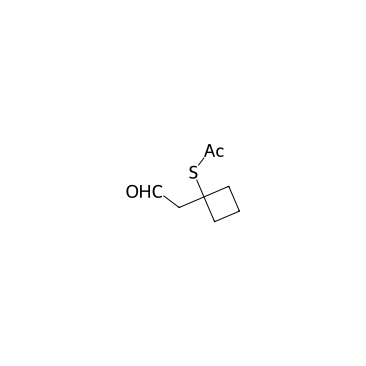 CC(=O)SC1(CC=O)CCC1